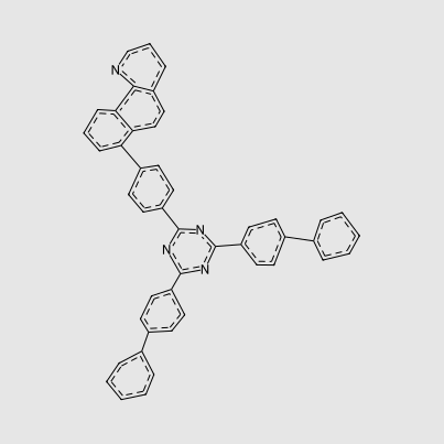 c1ccc(-c2ccc(-c3nc(-c4ccc(-c5ccccc5)cc4)nc(-c4ccc(-c5cccc6c5ccc5cccnc56)cc4)n3)cc2)cc1